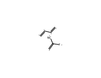 C=C(F)C#N.C=CC=C